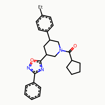 CCc1ccc(C2CC(c3nc(-c4ccccc4)no3)CN(C(=O)C3CCCC3)C2)cc1